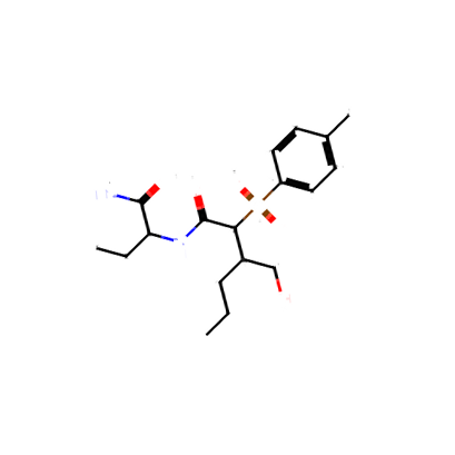 CCCC(CO)C(C(=O)NC(CC)C(N)=O)S(=O)(=O)c1ccc(C)cc1